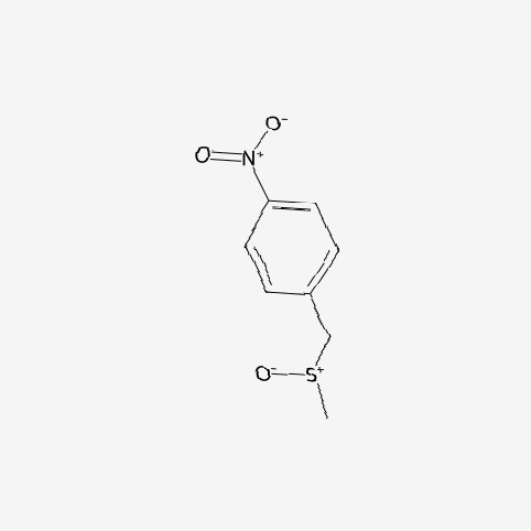 C[S+]([O-])Cc1ccc([N+](=O)[O-])cc1